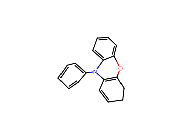 C1=CC2=C(CC1)Oc1ccccc1N2c1ccccc1